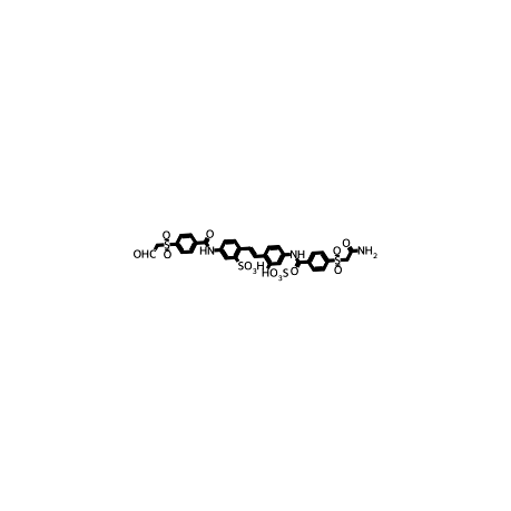 NC(=O)CS(=O)(=O)c1ccc(C(=O)Nc2ccc(C=Cc3ccc(NC(=O)c4ccc(S(=O)(=O)CC=O)cc4)cc3S(=O)(=O)O)c(S(=O)(=O)O)c2)cc1